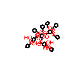 O=C(OCC1OC(OC(=O)c2cc(OCc3ccccc3)c(OCc3ccccc3)c(OCc3ccccc3)c2)C(OCc2ccccc2)C(OCc2ccccc2)C1OC(=O)c1cc(O)c(OCc2ccccc2)c(O)c1)c1cc(O)c(OCc2ccccc2)c(O)c1